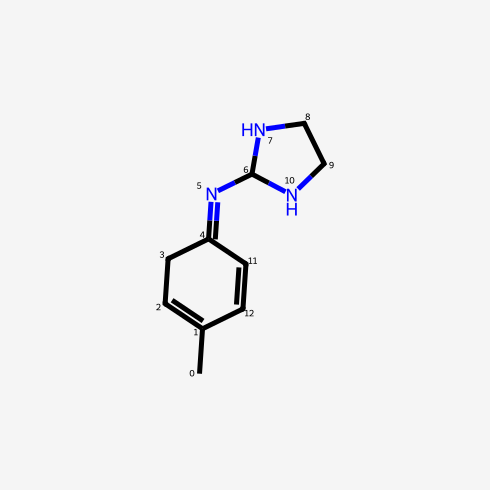 CC1=CCC(=NC2NCCN2)C=C1